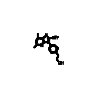 CCCc1nc2c(C)cc(C)nc2n1-c1ccc(CCO)cc1